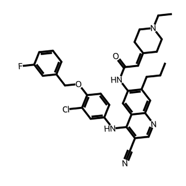 CCCc1cc2ncc(C#N)c(Nc3ccc(OCc4cccc(F)c4)c(Cl)c3)c2cc1NC(=O)C=C1CCN(CC)CC1